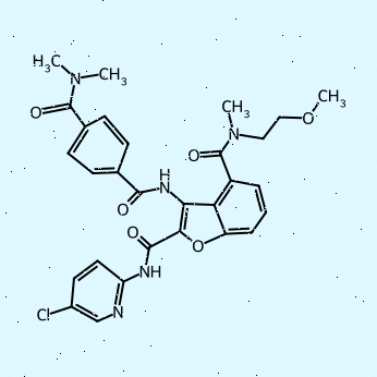 COCCN(C)C(=O)c1cccc2oc(C(=O)Nc3ccc(Cl)cn3)c(NC(=O)c3ccc(C(=O)N(C)C)cc3)c12